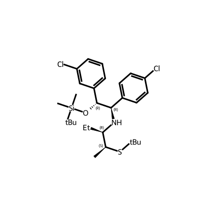 CC[C@@H](N[C@H](c1ccc(Cl)cc1)[C@H](O[Si](C)(C)C(C)(C)C)c1cccc(Cl)c1)[C@H](C)SC(C)(C)C